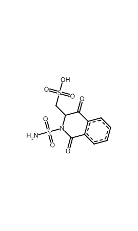 NS(=O)(=O)N1C(=O)c2ccccc2C(=O)C1CS(=O)(=O)O